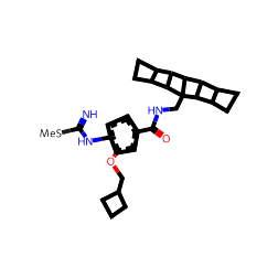 CSC(=N)Nc1ccc(C(=O)NCC23C4C5CCC5C4C2C2C4CCC4C23)cc1OCC1CCC1